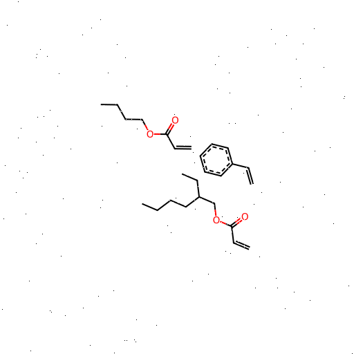 C=CC(=O)OCC(CC)CCCC.C=CC(=O)OCCCC.C=Cc1ccccc1